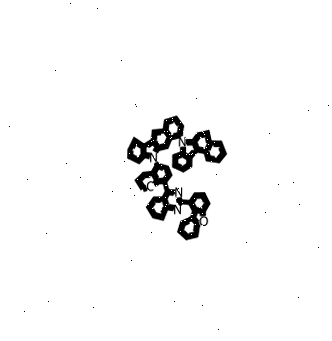 c1cc(-n2c3ccccc3c3c4ccccc4ccc32)c2cc3c(cc2c1)c1ccccc1n3-c1ccc(-c2nc(-c3cccc4oc5ccccc5c34)nc3ccccc23)c2ccccc12